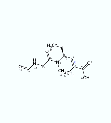 CC[C@@H](/C=C(\C)C(=O)O)N(C)C(=O)CNC=O